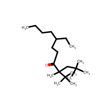 CCCCC(CC)CCC(=O)C(C)(CC(C)(C)C)C(C)(C)C